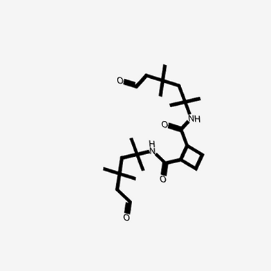 CC(C)(CC=O)CC(C)(C)NC(=O)C1CCC1C(=O)NC(C)(C)CC(C)(C)CC=O